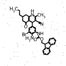 CCCC1CC(=O)C2=C(C1)NC(C)=C(C#N)C2c1cc(Br)c(N)c(NC(=O)OCC2c3ccccc3-c3ccccc32)c1